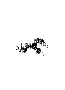 CC(C)(NCC(Cn1ccnc1[N+](=O)[O-])ONC(C)(C)C(CCn1ccnc1[N+](=O)[O-])=NO)C(CCn1ccnc1[N+](=O)[O-])=NO